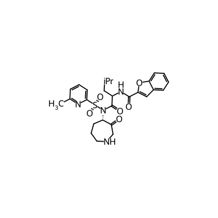 Cc1cccc(S(=O)(=O)N(C(=O)C(CC(C)C)NC(=O)c2cc3ccccc3o2)[C@H]2CCCNCC2=O)n1